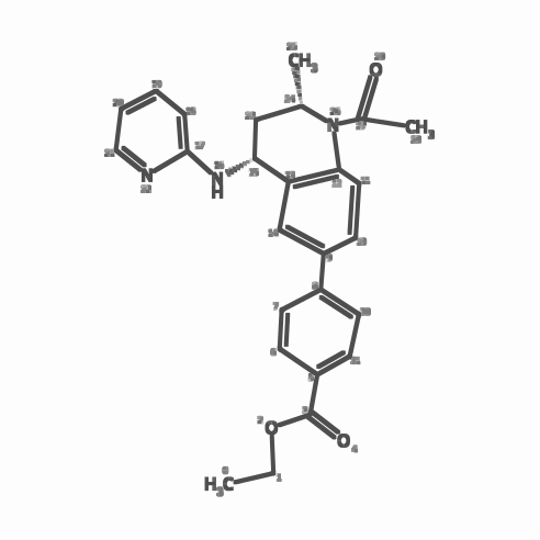 CCOC(=O)c1ccc(-c2ccc3c(c2)[C@H](Nc2ccccn2)C[C@H](C)N3C(C)=O)cc1